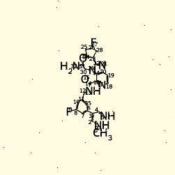 CN/C=C(\C=N)c1cc(F)cc(CNC(=O)c2nccc3nc(C4CCC(F)C4)n(CC(N)=O)c23)c1